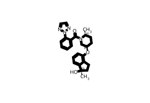 C[C@@H]1CC[C@@H](Oc2cccc3c2CC[C@@]3(C)O)CN1C(=O)c1ccccc1-n1nccn1